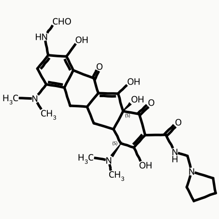 CN(C)c1cc(NC=O)c(O)c2c1CC1CC3[C@H](N(C)C)C(O)=C(C(=O)NCN4CCCC4)C(=O)[C@@]3(O)C(O)=C1C2=O